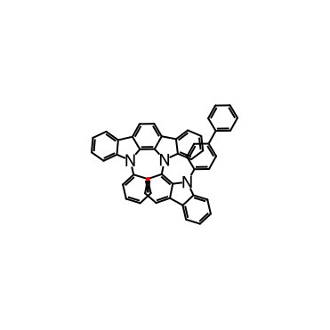 c1ccc(-c2ccc(-n3c4ccccc4c4cccc(-n5c6ccccc6c6ccc7c8ccccc8n(-c8ccccc8)c7c65)c43)cc2)cc1